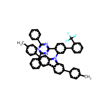 Cc1ccc(-c2ccc3c4ccc(-c5ccc(C)cc5)cc4n(-c4cc(-c5ccccc5C(F)(F)F)ccc4-c4nc(-c5ccccc5)nc(-c5ccccc5)n4)c3c2)cc1